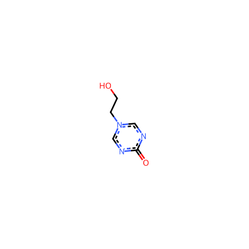 O=c1ncn(CCO)cn1